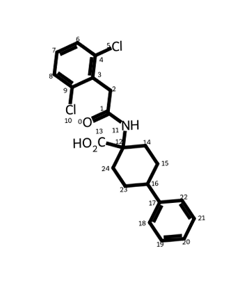 O=C(Cc1c(Cl)cccc1Cl)NC1(C(=O)O)CCC(c2ccccc2)CC1